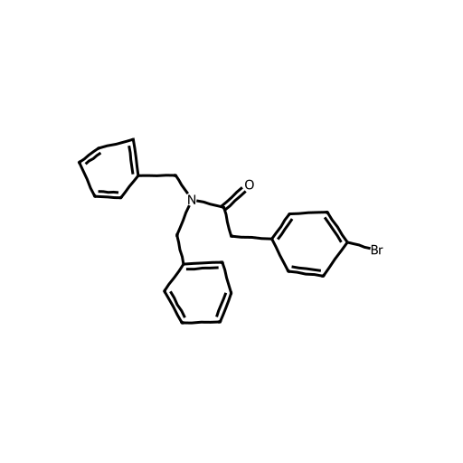 O=C(Cc1ccc(Br)cc1)N(Cc1ccccc1)Cc1ccccc1